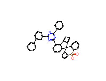 O=S1(=O)c2ccccc2C2(c3ccccc3-c3c(-c4nc(-c5ccccc5)nc(-c5cccc(-c6ccccc6)c5)n4)cccc32)c2ccccc21